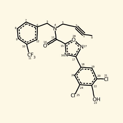 CC#CCN(Cc1cccc(C(F)(F)F)c1)C(=O)c1nc(-c2cc(Cl)c(O)c(Cl)c2)no1